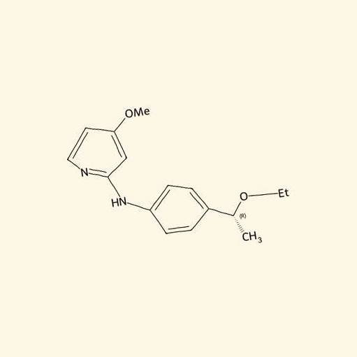 CCO[C@H](C)c1ccc(Nc2cc(OC)ccn2)cc1